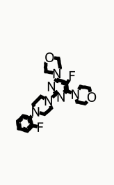 Fc1ccccc1N1CCN(c2nc(N3CCOCC3)c(F)c(N3CCOCC3)n2)CC1